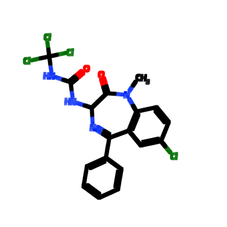 CN1C(=O)C(NC(=O)NC(Cl)(Cl)Cl)N=C(c2ccccc2)c2cc(Cl)ccc21